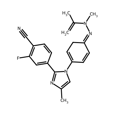 C=C(C)N(C)/N=C1/C=CC(n2cc(C)nc2-c2ccc(C#N)c(F)c2)=CC1